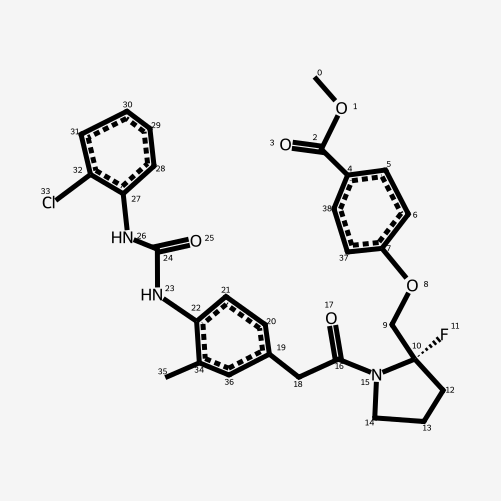 COC(=O)c1ccc(OC[C@@]2(F)CCCN2C(=O)Cc2ccc(NC(=O)Nc3ccccc3Cl)c(C)c2)cc1